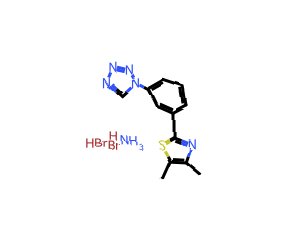 Br.Br.Cc1nc(-c2cccc(-n3cnnn3)c2)sc1C.N